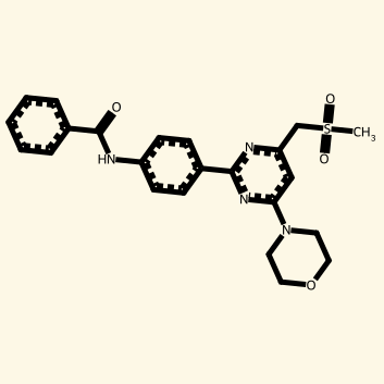 CS(=O)(=O)Cc1cc(N2CCOCC2)nc(-c2ccc(NC(=O)c3ccccc3)cc2)n1